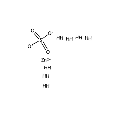 O=S(=O)([O-])[O-].[HH].[HH].[HH].[HH].[HH].[HH].[HH].[Zn+2]